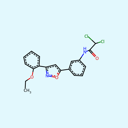 CCOc1ccccc1-c1cc(-c2cccc(NC(=O)C(Cl)Cl)c2)on1